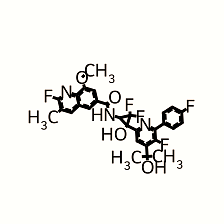 COc1cc(C(=O)NC2C(F)(F)C2(O)c2cc(C(C)(C)O)c(F)c(-c3ccc(F)cc3)n2)cc2cc(C)c(F)nc12